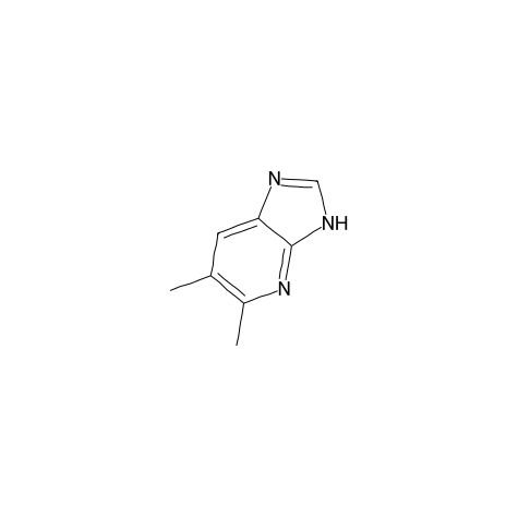 Cc1cc2nc[nH]c2nc1C